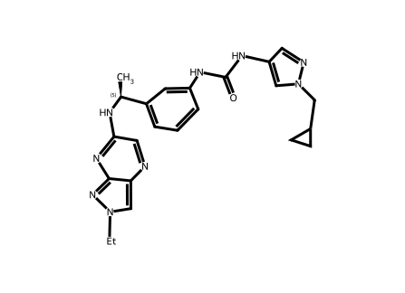 CCn1cc2ncc(N[C@@H](C)c3cccc(NC(=O)Nc4cnn(CC5CC5)c4)c3)nc2n1